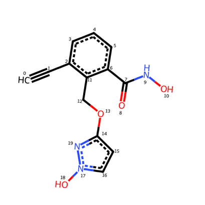 C#Cc1cccc(C(=O)NO)c1COc1ccn(O)n1